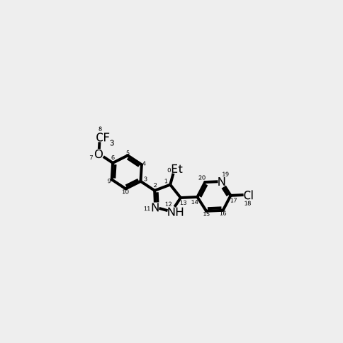 CCC1C(c2ccc(OC(F)(F)F)cc2)=NNC1c1ccc(Cl)nc1